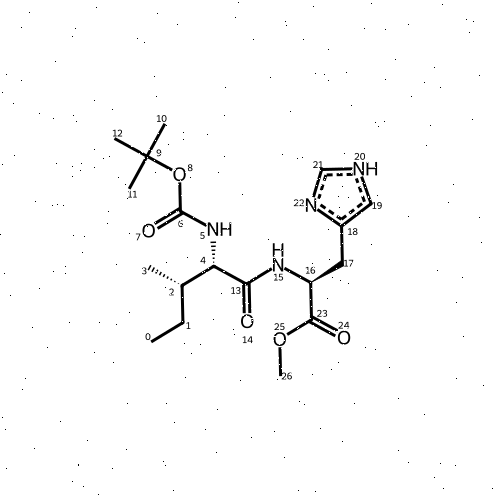 CC[C@H](C)[C@H](NC(=O)OC(C)(C)C)C(=O)N[C@@H](Cc1c[nH]cn1)C(=O)OC